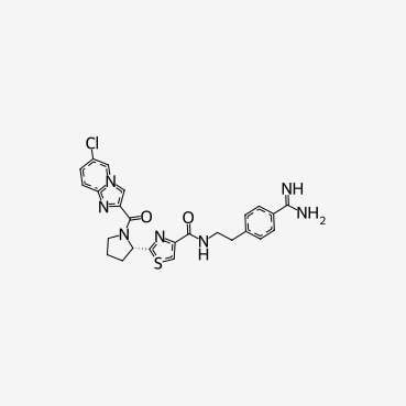 N=C(N)c1ccc(CCNC(=O)c2csc([C@@H]3CCCN3C(=O)c3cn4cc(Cl)ccc4n3)n2)cc1